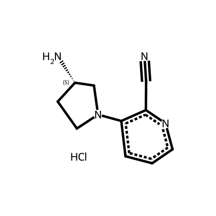 Cl.N#Cc1ncccc1N1CC[C@H](N)C1